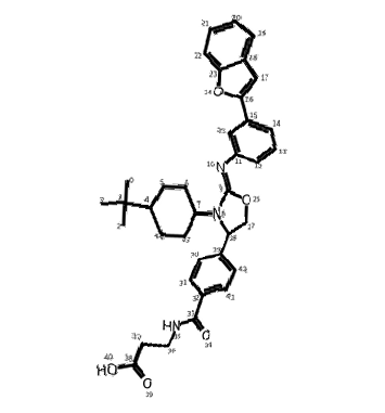 CC(C)(C)C1CCC(N2/C(=N/c3cccc(-c4cc5ccccc5o4)c3)OCC2c2ccc(C(=O)NCCC(=O)O)cc2)CC1